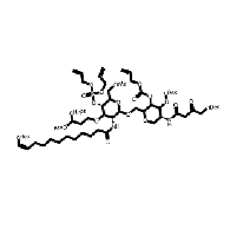 C=CCOC(=O)O[C@@H]1C(COC2OC(COC)[C@@H](OP(=O)(OCC=C)OCC=C)C(OCCC(CCCCCCC)OC)[C@H]2NC(=O)CCCCCCCCC/C=C\CCCCCC)OC[C@H](NC(=O)CC(=O)CCCCCCCCCCC)C1OCCCCCCCCCC